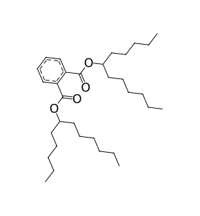 CCCCCCC(CCCCC)OC(=O)c1ccccc1C(=O)OC(CCCCC)CCCCCC